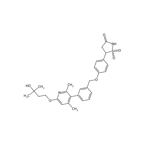 Cc1cc(OCCC(C)(C)O)nc(C)c1-c1cccc(COc2ccc(C3CC(=O)NS3(=O)=O)cc2)c1